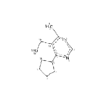 Cc1ccnc(C2CCCC2)c1CO